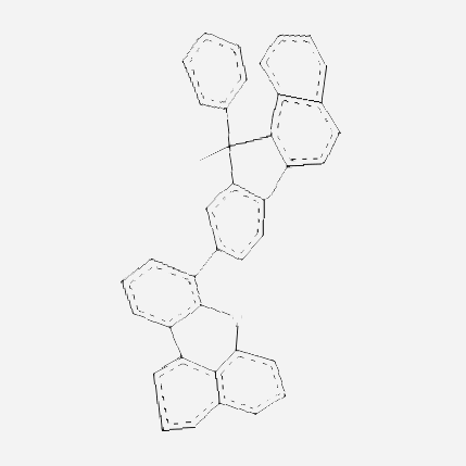 CC1(c2ccccc2)c2cc(-c3cccc4c3Oc3cccc5cccc-4c35)ccc2-c2ccc3ccccc3c21